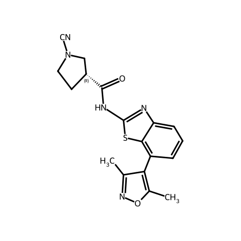 Cc1noc(C)c1-c1cccc2nc(NC(=O)[C@@H]3CCN(C#N)C3)sc12